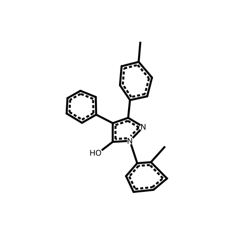 Cc1ccc(-c2nn(-c3ccccc3C)c(O)c2-c2ccccc2)cc1